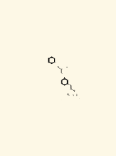 Cc1ccc(OCC(O)COc2cccc(CC(OC(C)C)C(=O)O)c2)cc1C